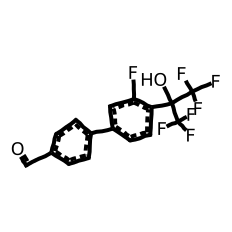 O=Cc1ccc(-c2ccc(C(O)(C(F)(F)F)C(F)(F)F)c(F)c2)cc1